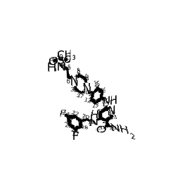 CS(=O)(=O)NCCN1CCN(c2ccc(Nc3cc(NCc4cc(F)cc(F)c4)c(C(N)=O)cn3)cc2)CC1